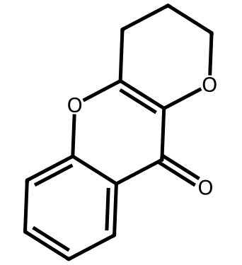 O=c1c2c(oc3ccccc13)CCCO2